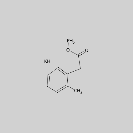 Cc1ccccc1CC(=O)OP.[KH]